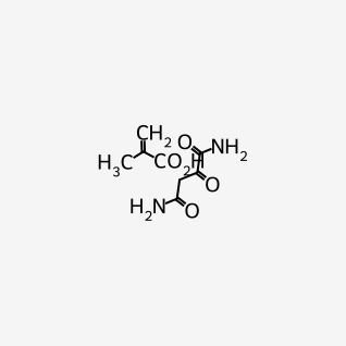 C=C(C)C(=O)O.NC(=O)CC(=O)C(N)=O